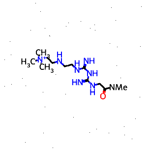 CNC(=O)CNC(=N)NC(=N)NCCNCC[N+](C)(C)C